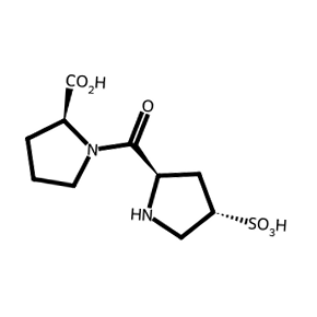 O=C(O)[C@@H]1CCCN1C(=O)[C@H]1C[C@H](S(=O)(=O)O)CN1